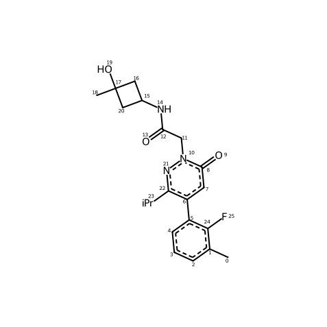 Cc1cccc(-c2cc(=O)n(CC(=O)NC3CC(C)(O)C3)nc2C(C)C)c1F